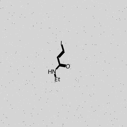 CCNC(=O)/C=C/I